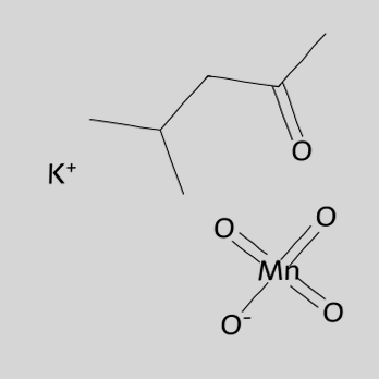 CC(=O)CC(C)C.[K+].[O]=[Mn](=[O])(=[O])[O-]